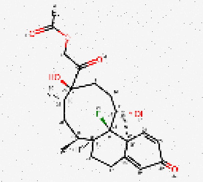 CCC(=O)OCC(=O)[C@]1(O)CC[C@H](O)[C@@]2(F)[C@@H](CCC3=CC(=O)C=C[C@@]32C)[C@@H](C)C[C@@H]1C